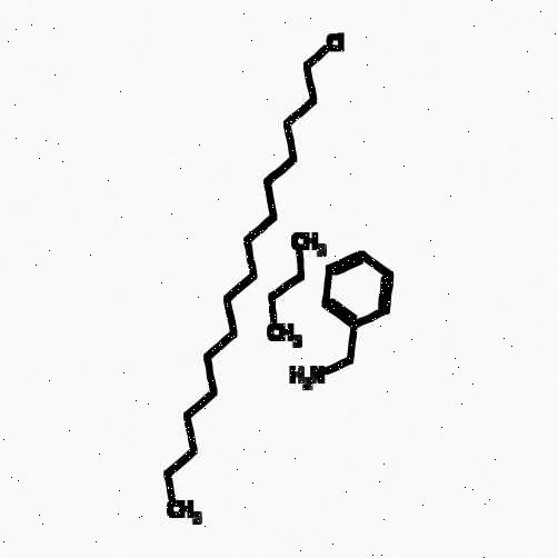 CCCC.CCCCCCCCCCCCCCCCCl.NCc1ccccc1